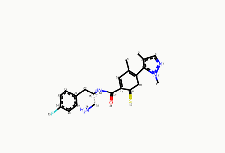 CC1=C(c2c(C)cnn2C)CC(=S)C(C(=O)N[C@H](CN)Cc2ccc(F)cc2)=C1